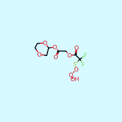 O=C(COC(=O)C(F)(F)SOOO)OC1COCCO1